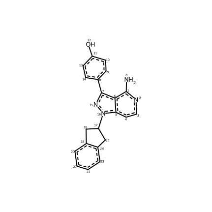 Nc1nccc2c1c(-c1ccc(O)cc1)nn2C1Cc2ccccc2C1